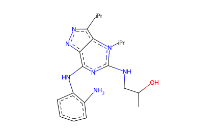 CC(O)CNc1nc(Nc2ccccc2N)c2nnc(C(C)C)c-2n1C(C)C